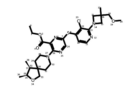 CCOC(=O)c1nc(Sc2ccnc(N3CC(C)(COC)C3)c2Cl)cnc1N1CCC2(CC1)CO[C@@H](C)[C@H]2C